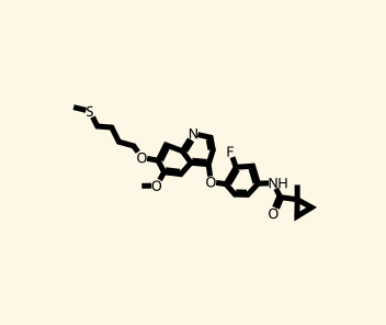 COc1cc2c(Oc3ccc(NC(=O)C4(C)CC4)cc3F)ccnc2cc1OCCCCSC